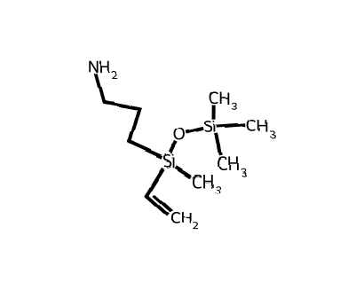 C=C[Si](C)(CCCN)O[Si](C)(C)C